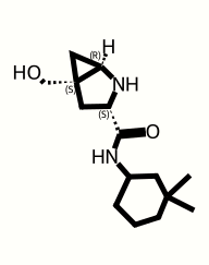 CC1(C)CCCC(NC(=O)[C@@H]2C[C@@]3(CO)C[C@H]3N2)C1